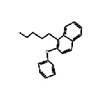 [CH2]CCCCc1c(Oc2ccccc2)ccc2ccccc12